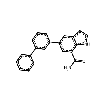 NC(=O)c1cc(-c2cccc(-c3ccccc3)c2)cc2cc[nH]c12